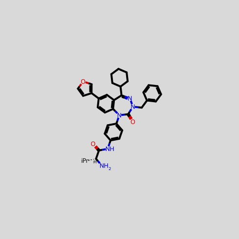 CC(C)[C@@H](N)C(=O)Nc1ccc(N2C(=O)N(Cc3ccccc3)N=C(C3CCCCC3)c3cc(-c4ccoc4)ccc32)cc1